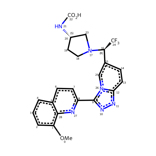 COc1cccc2ccc(-c3nnc4ccc([C@@H](N5CC[C@H](NC(=O)O)C5)C(F)(F)F)cn34)nc12